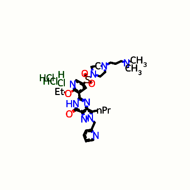 CCCc1c2nc(-c3cc(S(=O)(=O)N4CCN(CCCN(C)C)CC4)cnc3OCC)[nH]c(=O)c2nn1Cc1ccccn1.Cl.Cl.Cl